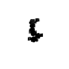 CCOC(=O)Cn1cc(-c2cnc3ccc(-c4c[nH]nc4-c4cc(Cl)ccc4F)nc3c2)nn1